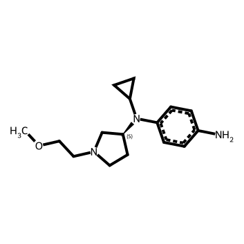 COCCN1CC[C@H](N(c2ccc(N)cc2)C2CC2)C1